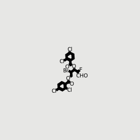 O=CC(F)C(OC(=O)c1ccc(Cl)cc1Cl)C(Br)COC(=O)c1ccc(Cl)cc1Cl